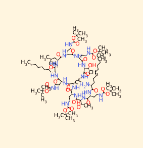 CCCCCCCC[C@H](N)C(=O)N[C@@H](CCNC(=O)OC(C)(C)C)C(=O)N[C@H](C(=O)N[C@@H](CCNC(=O)OC(C)(C)C)C(=O)N[C@H]1CCNC(=O)[C@H]([C@@H](C)O)NC(=O)[C@H](CCNC(=O)OC(C)(C)C)NC(=O)[C@H](CCNC(=O)OC(C)(C)C)NC(=O)[C@H](CC(C)C)NC(=O)[C@@H](CCCCCCCC)NC(=O)[C@H](CCNC(=O)OC(C)(C)C)NC1=O)[C@@H](C)O